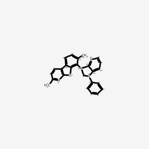 Cc1ccc2c(n1)oc1c(N3CN(c4ccccc4)c4cccnc43)c(C)ccc12